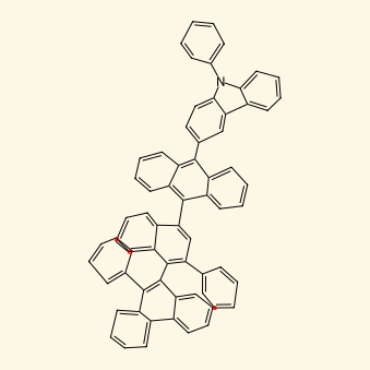 c1ccc(-c2cc(-c3c4ccccc4c(-c4ccc5c(c4)c4ccccc4n5-c4ccccc4)c4ccccc34)c3ccccc3c2-c2c(-c3ccccc3)c3ccccc3c3ccccc23)cc1